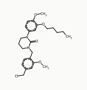 CCCCCOc1cc(N2CCCN(Cc3ccc(CCl)cc3OC)C2=O)ccc1OC